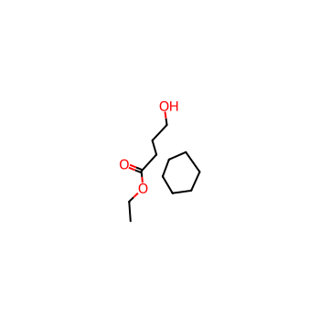 C1CCCCC1.CCOC(=O)CCCO